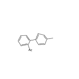 CC(=O)c1ccccc1-c1ccc(C)cc1